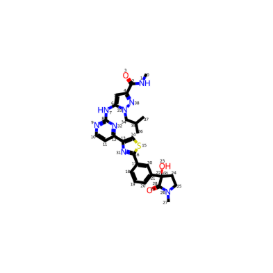 CNC(=O)c1cc(Nc2nccc(-c3csc(-c4cccc([C@]5(O)CCN(C)C5=O)c4)n3)n2)n(CC(C)C)n1